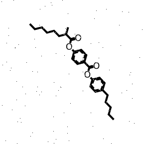 CCCCCCC(C)C(=O)Oc1ccc(C(=O)Oc2ccc(CCCCC)cc2)cc1